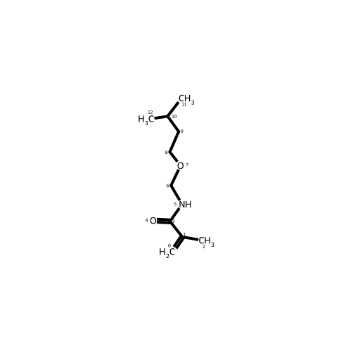 C=C(C)C(=O)NCOCCC(C)C